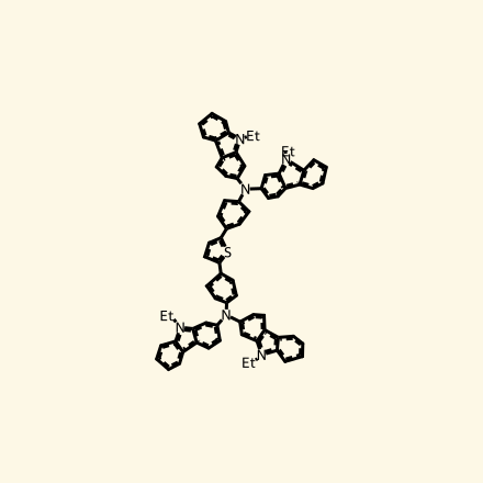 CCn1c2ccccc2c2ccc(N(c3ccc(-c4ccc(-c5ccc(N(c6ccc7c8ccccc8n(CC)c7c6)c6ccc7c8ccccc8n(CC)c7c6)cc5)s4)cc3)c3ccc4c5ccccc5n(CC)c4c3)cc21